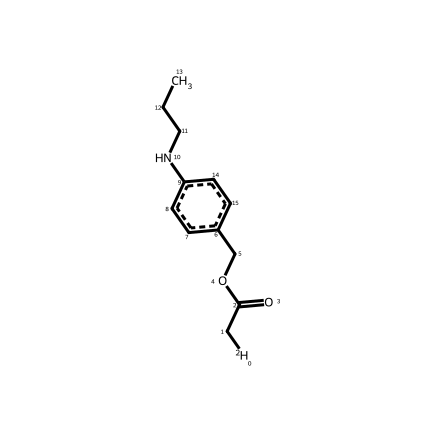 [2H]CC(=O)OCc1ccc(NCCC)cc1